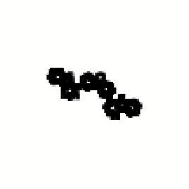 c1ccc2c(c1)sc1c(-c3ccc4oc5ccc(-c6ncnc7c6sc6ccccc67)cc5c4c3)ccnc12